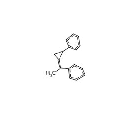 CC(=C1CC1c1ccccc1)c1ccccc1